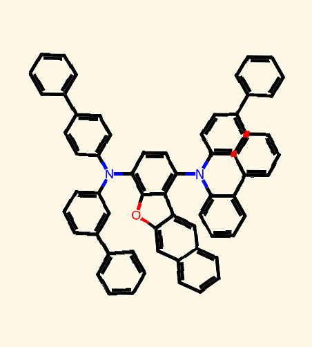 c1ccc(-c2ccc(N(c3cccc(-c4ccccc4)c3)c3ccc(N(c4ccc(-c5ccccc5)cc4)c4ccccc4-c4ccccc4)c4c3oc3cc5ccccc5cc34)cc2)cc1